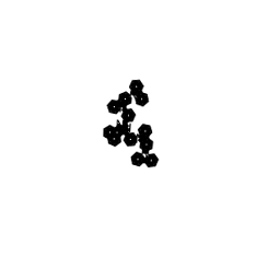 c1cc(-c2nc(-c3cccc(-n4c5ccccc5c5ccc(-n6c7ccccc7c7ccccc76)cc54)c3)c3c(n2)-c2cccc4cccc-3c24)cc(-n2c3ccccc3c3ccc(-n4c5ccccc5c5ccccc54)cc32)c1